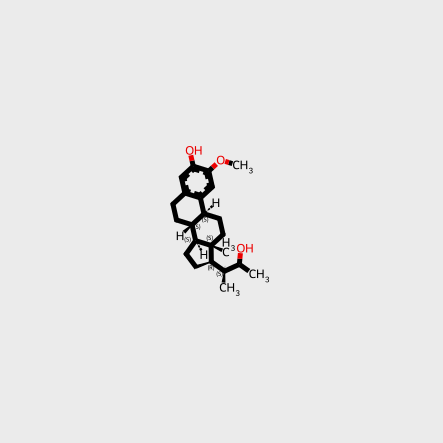 COc1cc2c(cc1O)CC[C@@H]1[C@@H]2CC[C@]2(C)[C@@H]([C@H](C)C(C)O)CC[C@@H]12